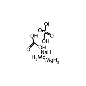 O=C(O)O.O=S(=O)(O)O.[MgH2].[MgH2].[NaH]